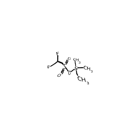 C[Si](C)(C)OS(=O)(=O)C(F)F